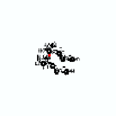 CC1(C)COCC1n1c(Cc2c(F)cc(-c3cccc(OCc4ccc(C#N)cc4F)n3)c(F)c2F)nc2c(F)cc(C(=O)O)cc21.CC1(C)COCC1n1c(Cc2c(F)cc(-c3cccc(OCc4ccc(C#N)cc4F)n3)c(F)c2F)nc2c(F)cc(C(=O)O)cc21